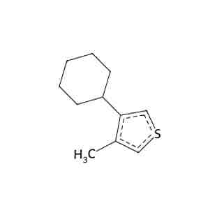 Cc1cscc1C1CCCCC1